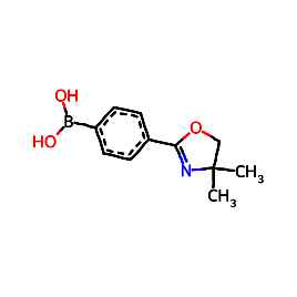 CC1(C)COC(c2ccc(B(O)O)cc2)=N1